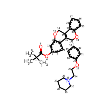 CC(C)(C)C(=O)Oc1ccc2c(c1)OCC1=C2[C@@H](c2ccc(OCCN3CCCCC3)cc2)Oc2ccccc21